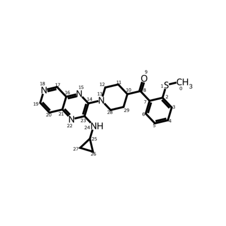 CSc1ccccc1C(=O)C1CCN(c2nc3cnccc3nc2NC2CC2)CC1